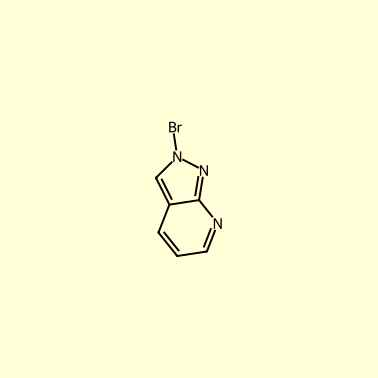 Brn1cc2cccnc2n1